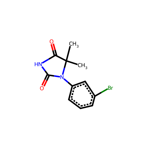 CC1(C)C(=O)NC(=O)N1c1cccc(Br)c1